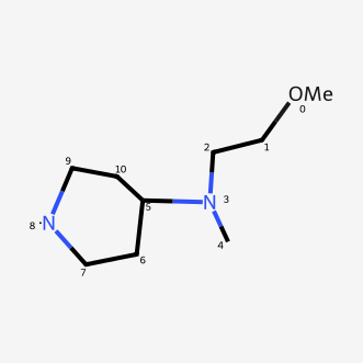 COCCN(C)C1CC[N]CC1